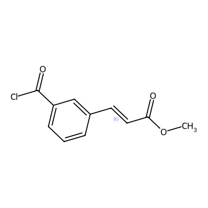 COC(=O)/C=C/c1cccc(C(=O)Cl)c1